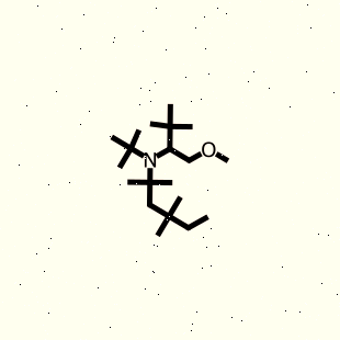 CCC(C)(C)CC(C)(C)N(C(COC)C(C)(C)C)C(C)(C)C